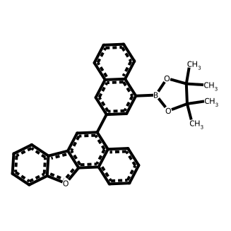 CC1(C)OB(c2cc(-c3cc4c5ccccc5oc4c4ccccc34)cc3ccccc23)OC1(C)C